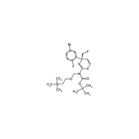 CC(C)(C)OC(=O)N(COCC[Si](C)(C)C)C1=N[C@](CF)(c2cc(Br)ccc2F)C=CS1